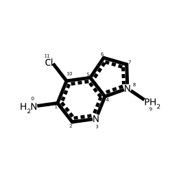 Nc1cnc2c(ccn2P)c1Cl